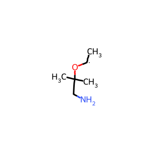 C[CH]OC(C)(C)CN